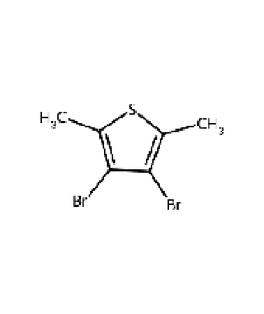 Cc1sc(C)c(Br)c1Br